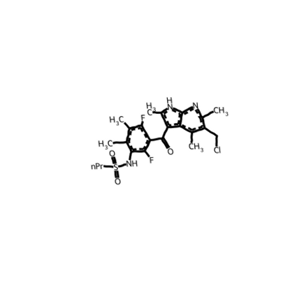 CCCS(=O)(=O)Nc1c(C)c(C)c(F)c(C(=O)c2c(C)[nH]c3nc(C)c(CCl)c(C)c23)c1F